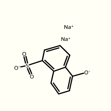 O=S(=O)([O-])c1cccc2c([O-])cccc12.[Na+].[Na+]